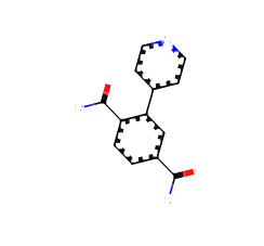 NC(=O)c1ccc(C(N)=O)c(-c2ccncc2)c1